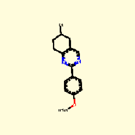 CCCCCCOc1ccc(-c2ncc3c(n2)CCC(CC)C3)cc1